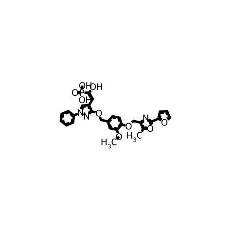 COc1cc(COc2nn(-c3ccccc3)cc2/C=C(/O)P(=O)(O)O)ccc1OCc1nc(-c2ccco2)oc1C